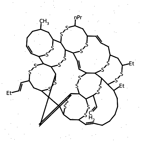 C=CC1SSC2C3SSC(CC)CC4C/C=C/C5CC(CCC)SSC6C7CC(C)CC/C=C\C(SS7)C7SSC(/C=C/CC)CC8CC9CC(/C=C/CCCCCC3CC)SSC1C1SSC(/C=C/C(SS5)C6SSC7C(/C=C/1SS9)SS8)C2SS4